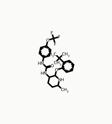 CC1CCC(NC(=O)Nc2ccc(OC(F)(F)F)cc2)C(Oc2ccccc2C(C)(C)C)N1